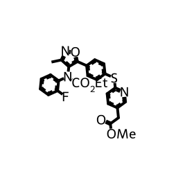 CCOC(=O)N(c1ccccc1F)c1c(C)noc1-c1ccc(Sc2ccc(CC(=O)OC)cn2)cc1